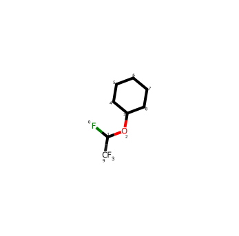 FC(OC1CCCCC1)C(F)(F)F